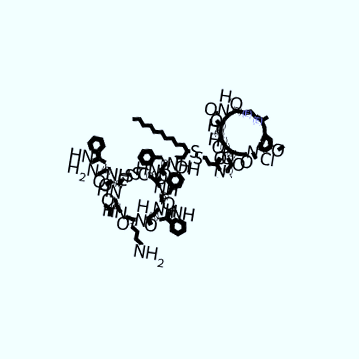 CCCCCCCCCCC(CCN[C@H](Cc1ccccc1)C(=O)N[C@H]1CSSC[C@@H](C(=O)N[C@@H](Cc2c[nH]c3ccccc23)C(N)=O)NC(=O)[C@H](C(C)C)NC(=O)[C@H](CCCCN)NC(=O)[C@@H](Cc2c[nH]c3ccccc23)NC(=O)[C@H](Cc2ccc(O)cc2)NC1=O)SSCCC(=O)N(C)[C@@H](C)C(=O)O[C@H]1CC(=O)N(C)c2cc(cc(OC)c2Cl)C/C(C)=C/C=C/[C@@H](OC)C2C[C@H](OC(=O)N2)[C@@H](C)[C@@H]2O[C@@]12C